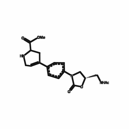 COC(=O)C1CC(c2ccc(N3C[C@H](CNC(C)=O)OC3=O)cc2)=CCN1